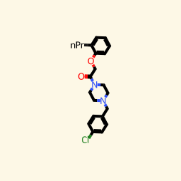 CCCc1ccccc1OCC(=O)N1CCN(Cc2ccc(Cl)cc2)CC1